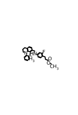 CCOC(=O)CCc1ccc(NCc2ccc3c(c2)N(c2ccccc2C)CCC3)cc1F